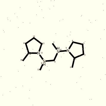 CC1CCCN1[SiH](C)C[SiH](C)N1CCCC1C